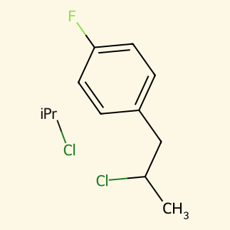 CC(C)Cl.CC(Cl)Cc1ccc(F)cc1